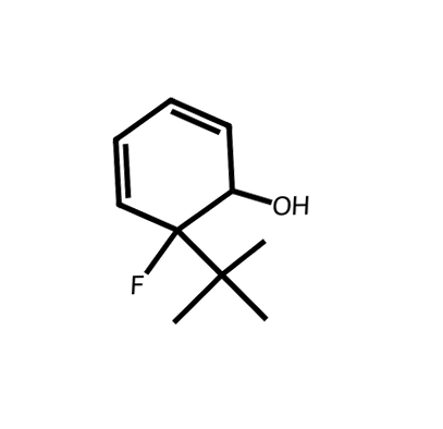 CC(C)(C)C1(F)C=CC=CC1O